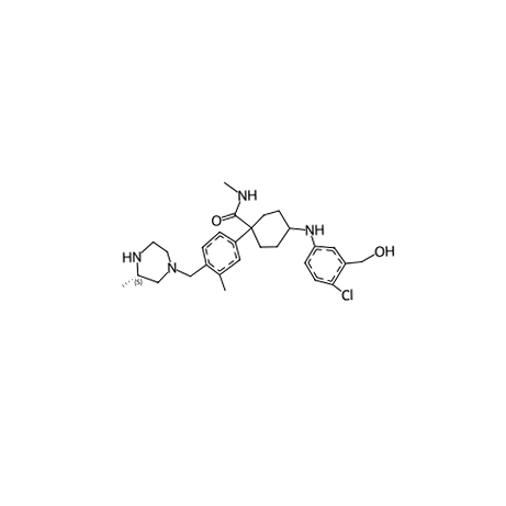 CNC(=O)C1(c2ccc(CN3CCN[C@@H](C)C3)c(C)c2)CCC(Nc2ccc(Cl)c(CO)c2)CC1